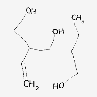 C=CC(CO)CO.CCCCO